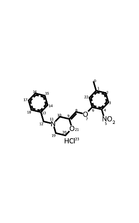 Cc1ccc([N+](=O)[O-])c(OC=C2CN(Cc3ccccc3)CCO2)c1.Cl